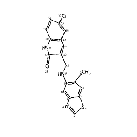 Cc1cc2scnc2cc1NCc1cc2cc(Cl)ccc2[nH]c1=O